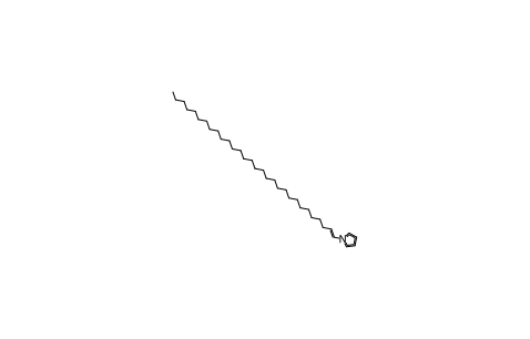 CCCCCCCCCCCCCCCCCCCCCCCCCCCCC=Cn1cccc1